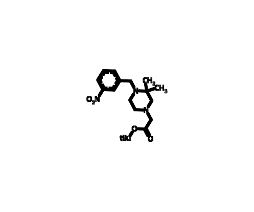 CC(C)(C)OC(=O)CN1CCN(Cc2cccc([N+](=O)[O-])c2)C(C)(C)C1